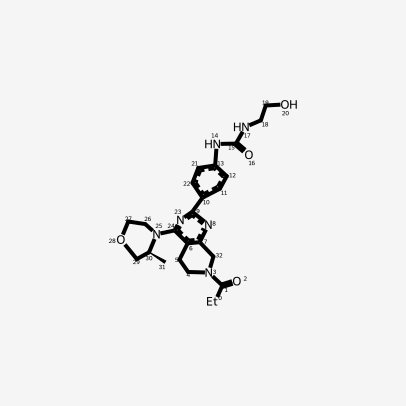 CCC(=O)N1CCc2c(nc(-c3ccc(NC(=O)NCCO)cc3)nc2N2CCOC[C@@H]2C)C1